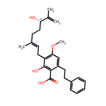 C=C(C)[C@@H](O)CC/C(C)=C/Cc1c(OC)cc(CCc2ccccc2)c(C(=O)O)c1O